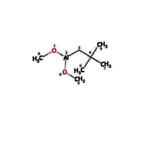 C[O][Al]([CH2]C(C)(C)C)[O]C